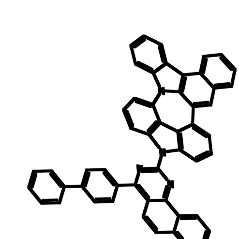 c1ccc(-c2ccc(-c3nc(-n4c5cccc6c7cc8ccccc8c8c9ccccc9n(c9cccc4c9c65)c78)nc4c3ccc3ccccc34)cc2)cc1